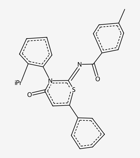 Cc1ccc(C(=O)/N=c2\sc(-c3ccccc3)cc(=O)n2-c2ccccc2C(C)C)cc1